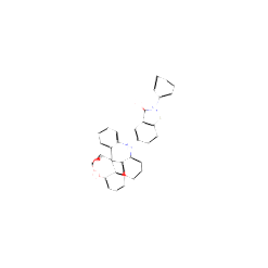 O=C1c2cc(N3c4ccccc4C4(c5ccccc5Oc5ccccc54)c4ccccc43)ccc2CN1c1ccccc1